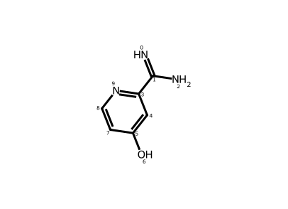 N=C(N)c1cc(O)ccn1